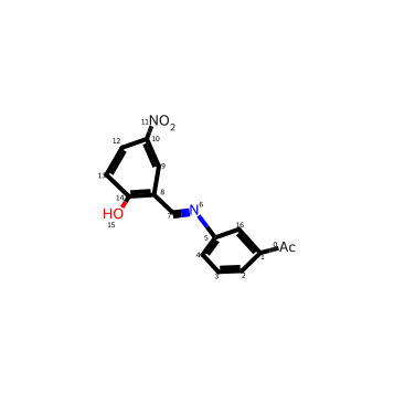 CC(=O)c1cccc(/N=C/c2cc([N+](=O)[O-])ccc2O)c1